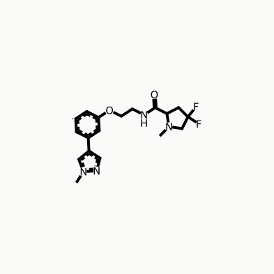 CN1CC(F)(F)CC1C(=O)NCCOc1c[c]cc(-c2cnn(C)c2)c1